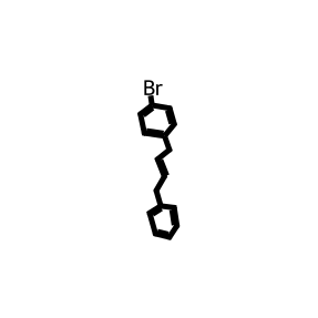 Brc1ccc(CC=CCc2ccccc2)cc1